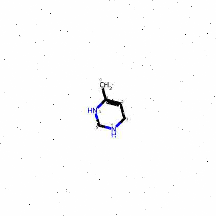 [CH2]C1=CCNCN1